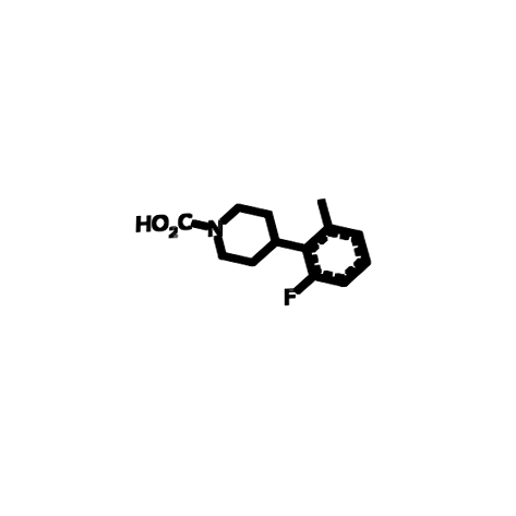 Cc1cccc(F)c1C1CCN(C(=O)O)CC1